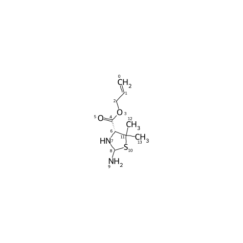 C=CCOC(=O)[C@H]1NC(N)SC1(C)C